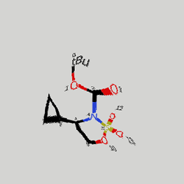 CC(C)(C)OC(=O)N1C(C2CC2)COS1(=O)=O